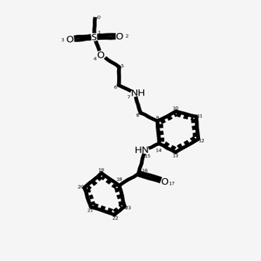 CS(=O)(=O)OCCNCc1ccccc1NC(=O)c1ccccc1